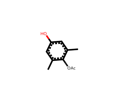 CC(=O)Oc1c(C)cc(O)cc1C